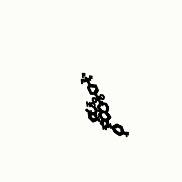 Cn1ccnc1C(O)[C@]12Cc3cnn(-c4ccc(F)cc4)c3C=C1CCN(S(=O)(=O)C1=CC=C(C(F)(F)F)CC1)C2